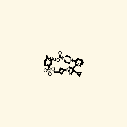 Cc1ccc(S(=O)(=O)OCC2CC(n3cc(-c4ncccc4N4CCN(C(=O)OC(C)(C)C)CC4)c(C4CC4)n3)C2)cc1